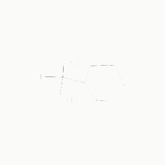 CCOC(=O)C(F)(C(=O)OCC)C1CCCCC1